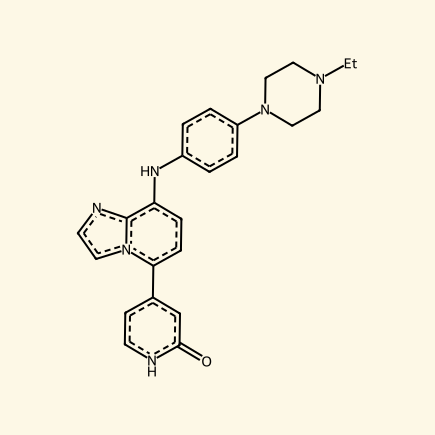 CCN1CCN(c2ccc(Nc3ccc(-c4cc[nH]c(=O)c4)n4ccnc34)cc2)CC1